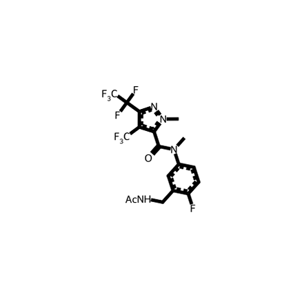 CC(=O)NCc1cc(N(C)C(=O)c2c(C(F)(F)F)c(C(F)(F)C(F)(F)F)nn2C)ccc1F